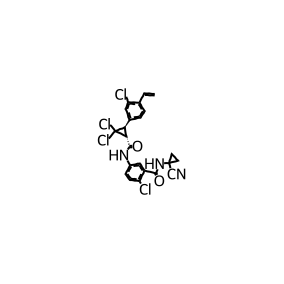 C=Cc1ccc([C@H]2[C@H](C(=O)Nc3ccc(Cl)c(C(=O)NC4(C#N)CC4)c3)C2(Cl)Cl)cc1Cl